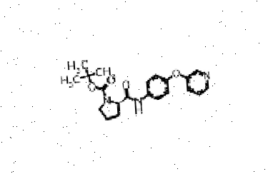 CC(C)(C)OC(=O)N1CCC[C@@H]1C(=O)Nc1ccc(Oc2cccnc2)cc1